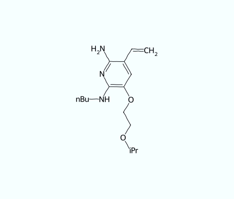 C=Cc1cc(OCCOC(C)C)c(NCCCC)nc1N